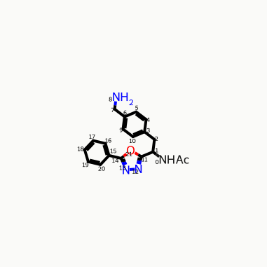 CC(=O)NC(Cc1ccc(CN)cc1)c1nnc(-c2ccccc2)o1